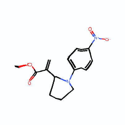 C=C(C(=O)OC)C1CCCN1c1ccc([N+](=O)[O-])cc1